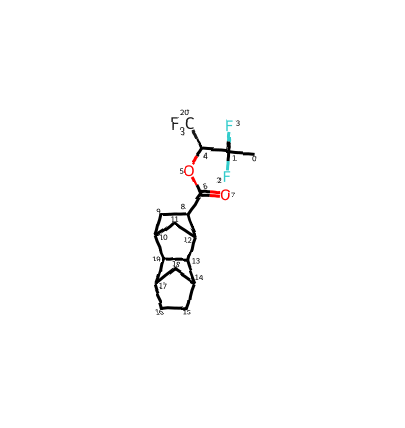 CC(F)(F)C(OC(=O)C1CC2CC1C1C3CCC(C3)C21)C(F)(F)F